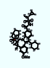 COc1ccc2c(c1)[C@@H]1CC1(C(=O)N1C3CCC1CN(C)C3)Cn1c-2c(C2CCCCC2)c2ccc(C(=O)NS(=O)(=O)N(C)C3CC3)cc21